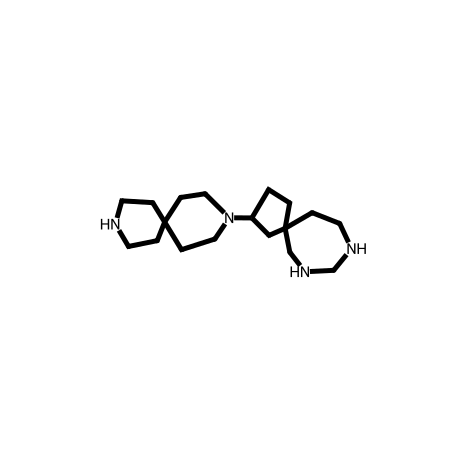 C1CC2(CCN1)CCN(C1CCC3(CCNCNC3)C1)CC2